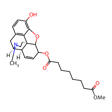 COC(=O)CCCCCCC(=O)OC1C=C[C@H]2[C@H]3Cc4ccc(O)c5c4[C@@]2(CCN3C)C1O5